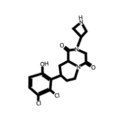 O=C1C2CC(c3c(O)ccc(Cl)c3Cl)CCN2C(=O)CN1C1CNC1